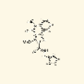 CCCCn1c(=O)c2c(OC)c(C(=O)NCc3ccco3)sc2c2ccccc21